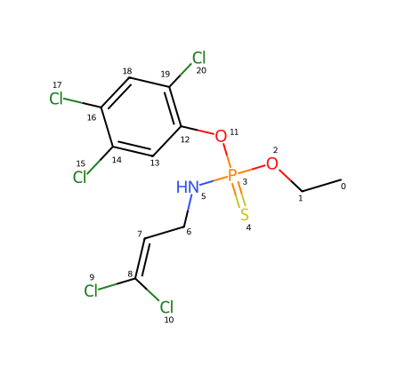 CCOP(=S)(NCC=C(Cl)Cl)Oc1cc(Cl)c(Cl)cc1Cl